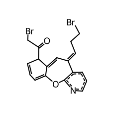 O=C(CBr)C1C=CC=C2Oc3ncccc3C(=CCCBr)C=C21